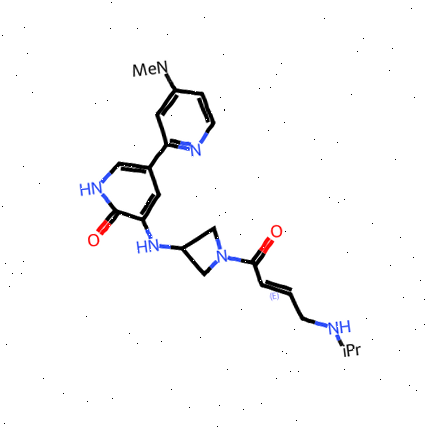 CNc1ccnc(-c2c[nH]c(=O)c(NC3CN(C(=O)/C=C/CNC(C)C)C3)c2)c1